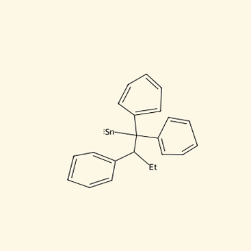 CCC(c1ccccc1)[C]([Sn])(c1ccccc1)c1ccccc1